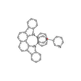 c1ccc(-n2c3ccccc3c3ccc4ccc5c6ccccc6n(-c6cccc(-c7cccnc7)c6)c5c4c32)cc1